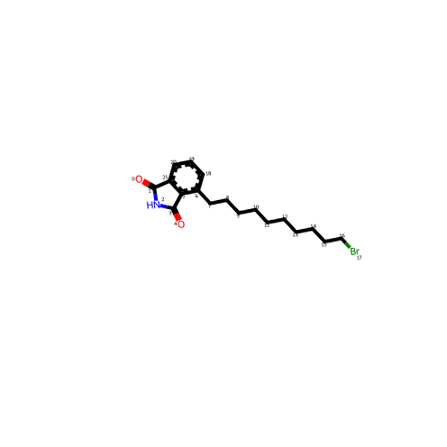 O=C1NC(=O)c2c(CCCCCCCCCCBr)cccc21